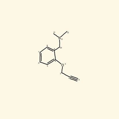 C#CCOc1ccccc1CN(C)C